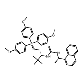 C=C(N[C@@H](CN=P(c1ccc(OC)cc1)(c1ccc(OC)cc1)c1ccc(OC)cc1)C(C)(C)C)N[C@H](C)c1cccc2ccccc12